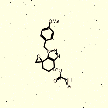 COc1ccc(Cn2nnc3c2C2(CC[C@H]3OC(=O)NC(C)C)CO2)cc1